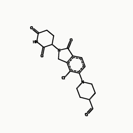 O=CC1CCN(c2ccc3c(c2Cl)CN(C2CCC(=O)NC2=O)C3=O)CC1